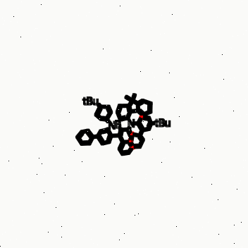 CC(C)(C)c1ccc(N2B3c4ccc5c(c4N(c4ccc(C(C)(C)C)cc4-c4ccccc4)c4cc6ccccc6c(c43)-c3ccc(-c4ccccc4)cc32)-c2ccccc2C5(C)C)cc1